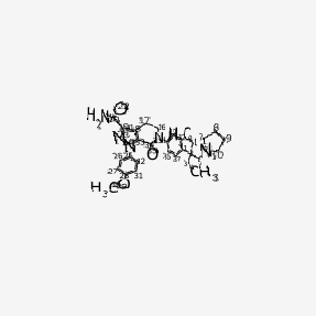 CCC(CC)(CN1CCCC1)c1ccc(N2CCc3c(C(N)=O)nn(-c4ccc(OC)cc4)c3C2=O)cc1